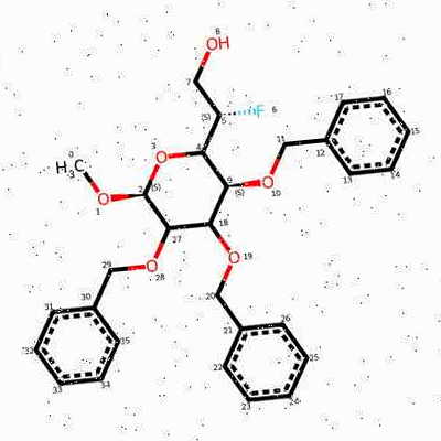 CO[C@H]1OC([C@@H](F)CO)[C@@H](OCc2ccccc2)C(OCc2ccccc2)C1OCc1ccccc1